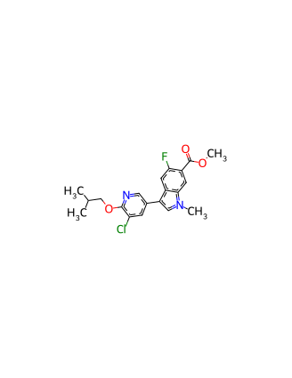 COC(=O)c1cc2c(cc1F)c(-c1cnc(OCC(C)C)c(Cl)c1)cn2C